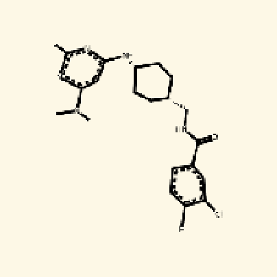 Cc1nc(N[C@H]2CC[C@@H](CNC(=O)c3ccc(F)c(Cl)c3)CC2)cc(N(C)C)n1